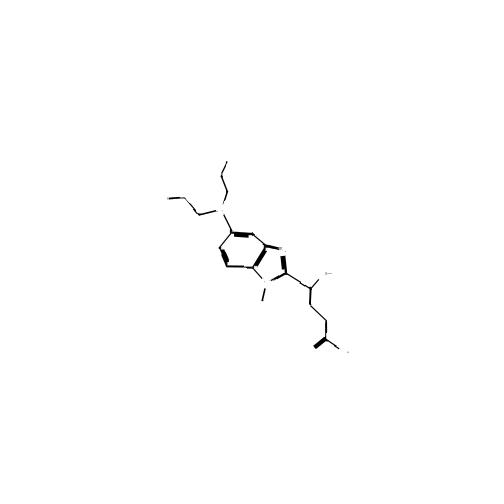 Cn1c(C(O)CCC(=O)O)nc2cc(N(CCCl)CCCl)ccc21